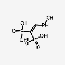 O=P(O)(O)C(=CPO)P(=O)(O)O